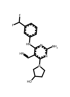 N=Cc1c(Nc2cccc(C(F)F)c2)nc(N)nc1N1CCC(O)C1